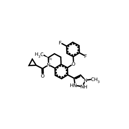 C[C@H]1CCc2c(ccc(C3=CN(C)NN3)c2Oc2cc(F)ccc2F)N1C(=O)C1CC1